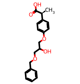 C[C@H](C(=O)O)c1ccc(OCC(O)COCc2ccccc2)cc1